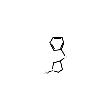 CC(=O)N1CCC(Oc2cccnc2)C1